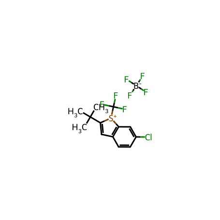 CC(C)(C)c1cc2ccc(Cl)cc2[s+]1C(F)(F)F.F[B-](F)(F)F